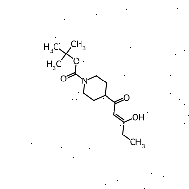 CC/C(O)=C/C(=O)C1CCN(C(=O)OC(C)(C)C)CC1